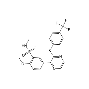 CNS(=O)(=O)c1cc(-c2nccnc2Sc2ccc(C(F)(F)F)cc2)ccc1OC